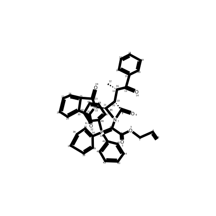 C=CCOC(=O)C(N1C(=O)[C@@H]([C@H](C)C(=O)c2ccccc2)[C@@H]1N1C(=O)c2ccccc2C1=O)=P(c1ccccc1)(c1ccccc1)c1ccccc1